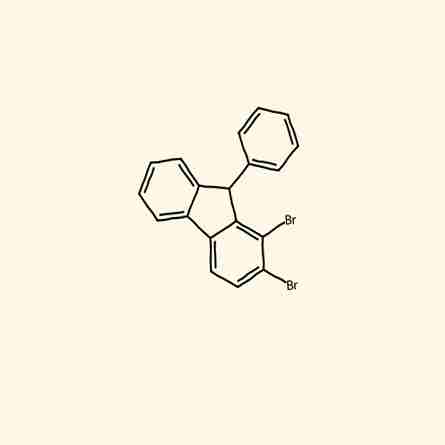 Brc1ccc2c(c1Br)C(c1ccccc1)c1ccccc1-2